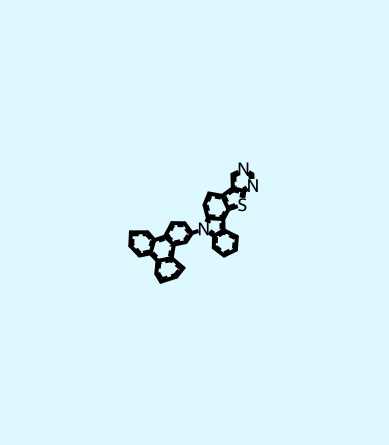 c1ccc2c(c1)c1ccccc1c1cc(-n3c4ccccc4c4c5sc6ncncc6c5ccc43)ccc21